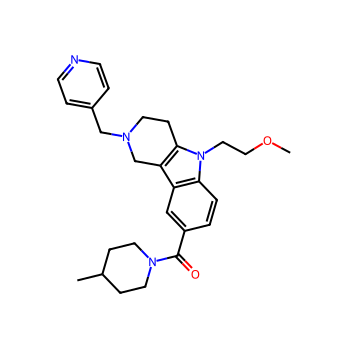 COCCn1c2c(c3cc(C(=O)N4CCC(C)CC4)ccc31)CN(Cc1ccncc1)CC2